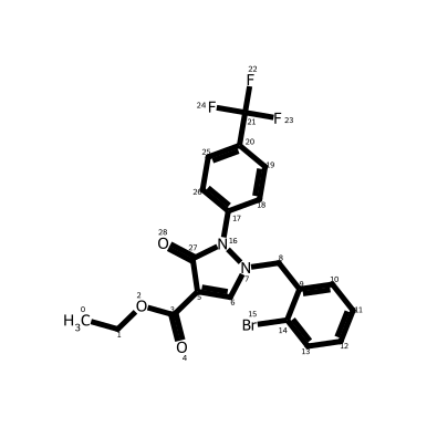 CCOC(=O)c1cn(Cc2ccccc2Br)n(-c2ccc(C(F)(F)F)cc2)c1=O